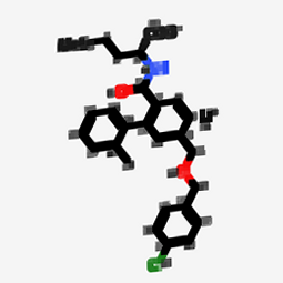 CSCC[C@H](NC(=O)c1ccc(COCc2ccc(Cl)cc2)cc1-c1ccccc1C)C(=O)[O-].[Li+]